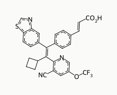 N#Cc1cc(OC(F)(F)F)cnc1C(=C(c1ccc(C=CC(=O)O)cc1)c1ccc2scnc2c1)C1CCC1